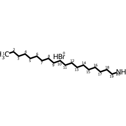 Br.CCCCCCCCCCCCCCCCCCCN